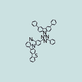 N#Cc1cc(-c2nc(-c3ccccc3)nc(-n3c4ccc(-c5ccccc5)cc4c4cc(-c5ccccc5)ccc43)n2)ccc1-n1c2ccccc2c2cc3c(cc21)sc1ccccc13